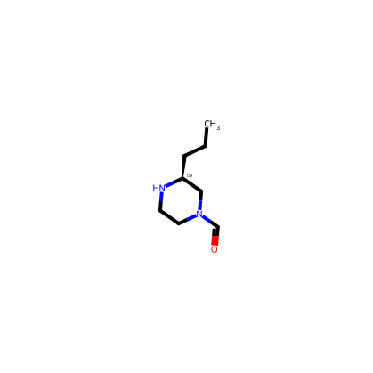 CCC[C@H]1CN(C=O)CCN1